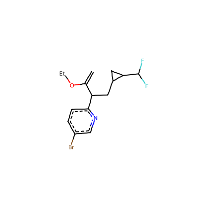 C=C(OCC)C(CC1CC1C(F)F)c1ccc(Br)cn1